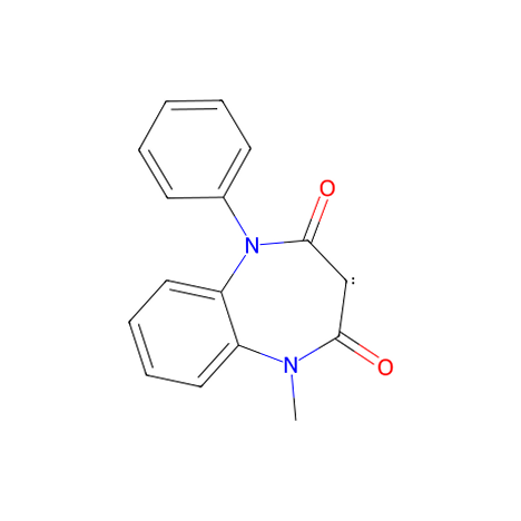 CN1C(=O)[C]C(=O)N(c2ccccc2)c2ccccc21